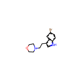 Brc1ccc2[nH]cc(CCN3CCOCC3)c2c1